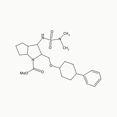 COC(=O)N1C2CCCC2C(NS(=O)(=O)N(C)C)C1COC1CCC(c2ccccc2)CC1